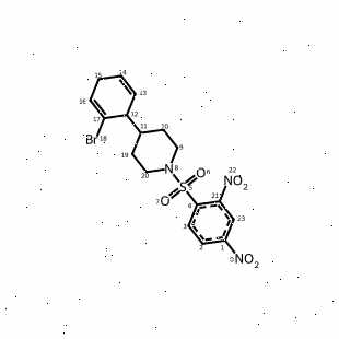 O=[N+]([O-])c1ccc(S(=O)(=O)N2CCC(C3C=CCC=C3Br)CC2)c([N+](=O)[O-])c1